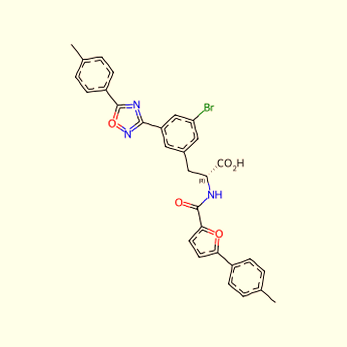 Cc1ccc(-c2ccc(C(=O)N[C@H](Cc3cc(Br)cc(-c4noc(-c5ccc(C)cc5)n4)c3)C(=O)O)o2)cc1